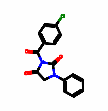 O=C1CN(c2ccccc2)C(=O)N1C(=O)c1ccc(Cl)cc1